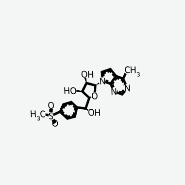 Cc1ncnc2c1ccn2[C@@H]1O[C@H]([C@H](O)c2ccc(S(C)(=O)=O)cc2)[C@@H](O)[C@H]1O